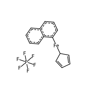 C1=C[CH]([Fe][c]2cccc3ccccc23)C=C1.F[P-](F)(F)(F)(F)F